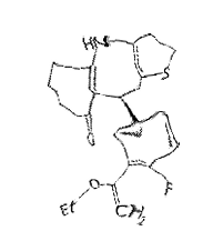 C=C(OCC)c1cc([C@@H]2C3=C(CCS3)NC3=C2C(=O)CCC3)ccc1F